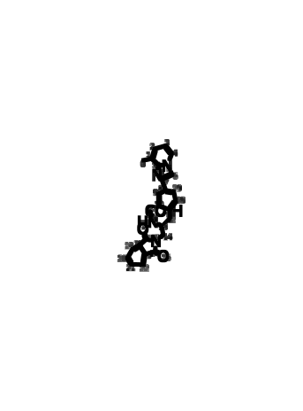 Cc1cccn2cc(-c3ccc(C[C@@H](CN4C(=O)c5ccccc5C4=O)NC(=O)O)cc3)nc12